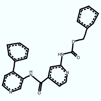 O=C(Nc1cc(C(=O)Nc2cnccc2-c2ccccc2)ccn1)OCc1ccccc1